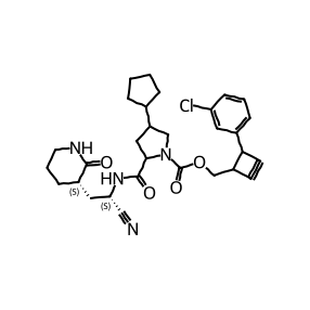 N#C[C@H](C[C@@H]1CCCNC1=O)NC(=O)C1CC(C2CCCC2)CN1C(=O)OCC1C#CC1c1cccc(Cl)c1